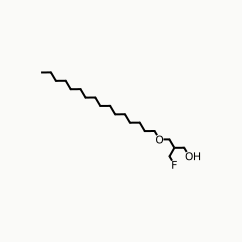 CCCCCCCCCCCCCCCCOCC(CO)CF